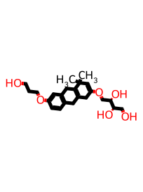 CC1(C)C=C(OC[C@@H](O)[C@H](O)CO)CC2=C1Cc1cc(OCCCO)ccc1C2